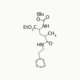 CCOC(=O)C(CC(C)C(=O)NCCc1ccccc1)NC(=O)OC(C)(C)C